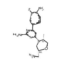 C[C@@H]1CO[C@H](CN)CN1c1cc(-c2ccc(N)c(F)c2)nc(N)n1